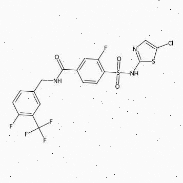 O=C(NCc1ccc(F)c(C(F)(F)F)c1)c1ccc(S(=O)(=O)Nc2ncc(Cl)s2)c(F)c1